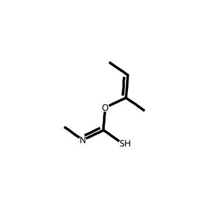 C/C=C(/C)O/C(S)=N\C